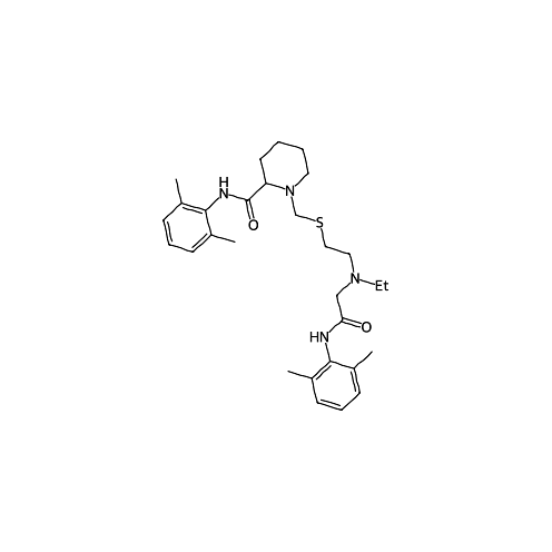 CCN(CCSCN1CCCCC1C(=O)Nc1c(C)cccc1C)CC(=O)Nc1c(C)cccc1C